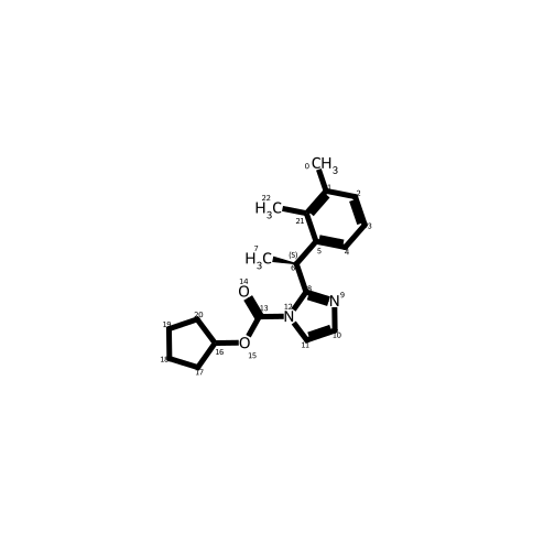 Cc1cccc([C@H](C)c2nccn2C(=O)OC2CCCC2)c1C